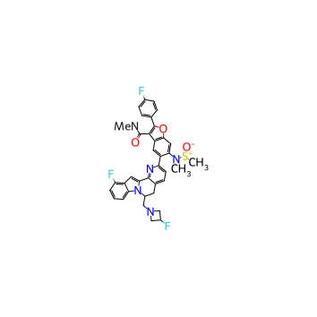 CNC(=O)c1c(-c2ccc(F)cc2)oc2cc(N(C)[S+](C)[O-])c(-c3ccc4c(n3)-c3cc5c(F)cccc5n3C(CN3CC(F)C3)C4)cc12